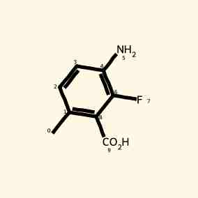 Cc1ccc(N)c(F)c1C(=O)O